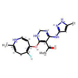 CCc1cc(NC2=NCNC(OC3=C(\F)C/C=C(/C)N/C=C\3)=C2C(=O)NC)n[nH]1